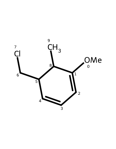 COC1=CC=CC(CCl)C1C